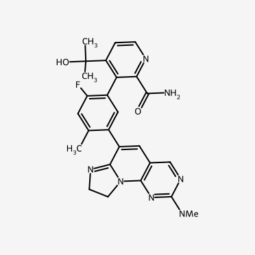 CNc1ncc2c(n1)N1CCN=C1C(c1cc(-c3c(C(C)(C)O)ccnc3C(N)=O)c(F)cc1C)=C2